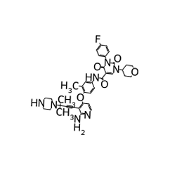 Cc1cc(NC(=O)c2cn(C3CCOCC3)c(=O)n(-c3ccc(F)cc3)c2=O)ccc1Oc1ccnc(N)c1C#CC(C)(C)N1CCNCC1